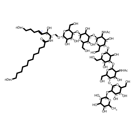 CCCCCCCCCCCCC/C=C/[C@@H](O)[C@H](CO[C@@H]1OC(CO)[C@@H](O[C@@H]2OC(CO)[C@H](O)[C@H](O[C@@H]3OC(CO)[C@@H](O[C@@H]4OC(CO)[C@H](O)[C@H](O[C@@H]5OC(CO)[C@@H](O[C@@H]6OC(CO)[C@H](O)[C@H](O)C6O[C@H]6OC(C)[C@@H](O)C(O)[C@@H]6O)[C@H](O)C5NC(C)=O)C4O)[C@H](O)C3NC(C)=O)C2O)[C@H](O)C1O)NC(=O)CCCCCCCCCCCCCCCCCCCCC